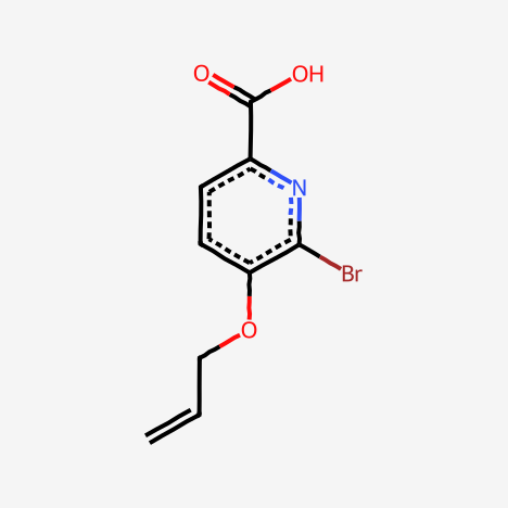 C=CCOc1ccc(C(=O)O)nc1Br